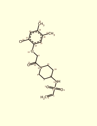 C=CS(=O)(=O)NC1CCN(C(=O)COc2cc(C)c(C)cc2Cl)CC1